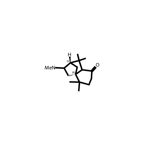 CNC1C[C@]23C[C@H]1C(C)(C)C2C(=O)CCC3(C)C